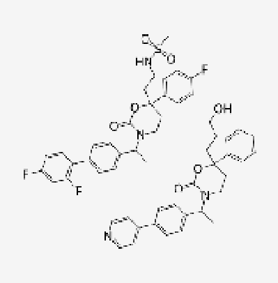 CC(c1ccc(-c2ccc(F)cc2F)cc1)N1CCC(CCNS(C)(=O)=O)(c2ccc(F)cc2)OC1=O.CC(c1ccc(-c2ccncc2)cc1)N1CCC(CCCO)(c2ccccc2)OC1=O